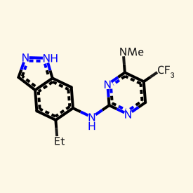 CCc1cc2cn[nH]c2cc1Nc1ncc(C(F)(F)F)c(NC)n1